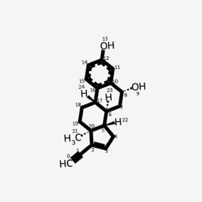 C#CC1=CC[C@H]2[C@@H]3C[C@@H](O)c4cc(O)ccc4[C@H]3CC[C@]12C